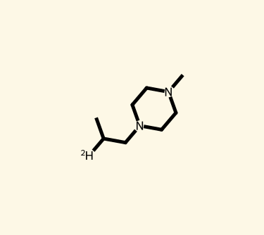 [2H]C(C)CN1CCN(C)CC1